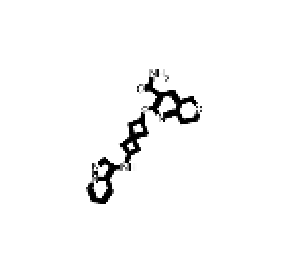 NC(=O)c1cc2c(nc1OC1CC3(CC(Nc4cnn5ccccc45)C3)C1)CCOC2